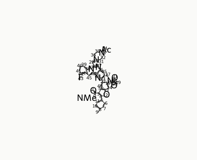 CNC(=O)c1c(-c2ccc(C)cc2)oc2cc(N(C)S(C)(=O)=O)c(-c3ccc4nc(CN5CCN(C(C)=O)CC5)n5c6cccc(F)c6cc5c4n3)cc12